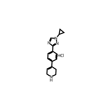 C1=C(c2ccc(-c3ncn(C4CC4)n3)cc2)CCNC1.Cl